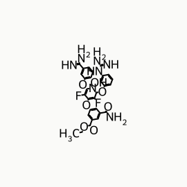 CCOC(=O)c1cc(Oc2c(F)c(Oc3cccc(NC(=N)N)c3)nc(Oc3cc(C(=N)N)ccc3O)c2F)cc(C(N)=O)c1